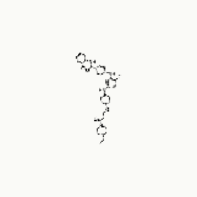 CCN1CCN(C(=O)CCOc2ccc(Nc3ccc(F)c(Nc4ccc(C(=O)Nc5ccccc5Cl)cc4)n3)cc2)CC1